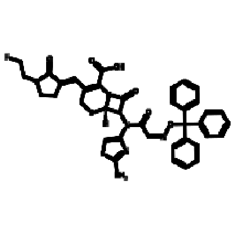 Nc1nc(N(C(=O)/C=N\OC(c2ccccc2)(c2ccccc2)c2ccccc2)[C@@H]2C(=O)N3C(C(=O)O)=C(/C=C4\CCN(CCF)C4=O)CS[C@H]23)cs1